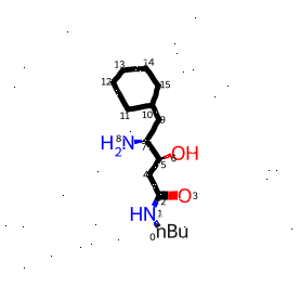 CCCCNC(=O)C[C@H](O)[C@@H](N)CC1CCCCC1